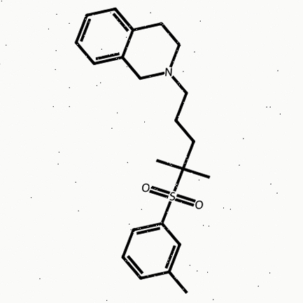 Cc1cccc(S(=O)(=O)C(C)(C)CCCN2CCc3ccccc3C2)c1